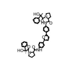 C[C@@](O)(C(=O)N1CCCC1C(=O)Nc1ccc(-c2ccc(-c3ccc(NC(=O)C4CCCN4C(=O)[C@@](C)(O)c4ccccc4)cc3)o2)cc1)c1ccccc1